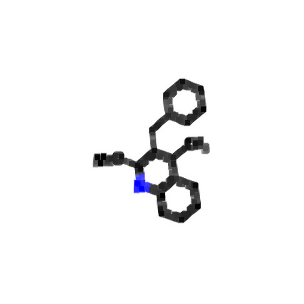 COc1nc2ccccc2c(C)c1Cc1ccccc1